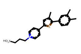 Cc1ccc(-c2sc(-c3cc[n+](CCCS(=O)(=O)O)cc3)cc2C)cc1C